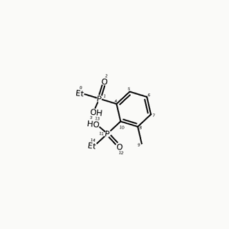 CCP(=O)(O)c1cccc(C)c1P(=O)(O)CC